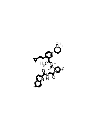 C[C@H](NC(=O)[C@@H]1C[C@@H](F)CN1C(=O)CNC(=O)c1ccc2cc(F)ccc2n1)c1cc([C@H]2CCCN(C)C2)ccc1/C=C/C1CC1